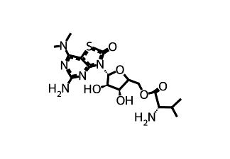 CC(C)[C@H](N)C(=O)OCC1O[C@@H](n2c(=O)sc3c(N(C)C)nc(N)nc32)[C@H](O)[C@@H]1O